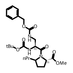 CCCC1CC[C@@H](C(=O)OC)N1C(=O)[C@H](CNC(=O)OCc1ccccc1)NC(=O)OC(C)(C)C